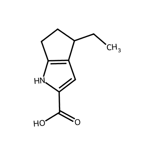 CCC1CCc2[nH]c(C(=O)O)cc21